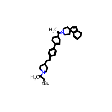 C=C(CC(C)(C)C)N1CCC(CCc2ccc(C3=CCC(C(=C)N4CCC5(C=CC6=C5C=CCC6)CC4)CC3)cc2)CC1